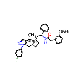 COc1cccc(CC(=O)NC(C[C@H]2CCC3=C2[C@@H](C)c2cnn(-c4ccc(F)cc4)c2C3)c2ccccc2)c1